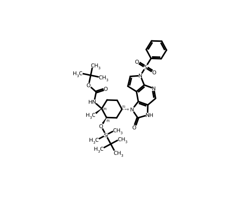 CC(C)(C)OC(=O)N[C@]1(C)CC[C@H](n2c(=O)[nH]c3cnc4c(ccn4S(=O)(=O)c4ccccc4)c32)C[C@H]1O[Si](C)(C)C(C)(C)C